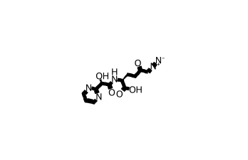 [N-]=[N+]=CC(=O)CC[C@H](NC(=O)[C@H](O)c1ncccn1)C(=O)O